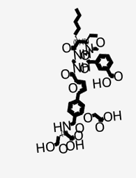 CCCCC[C@@H](C(=O)NCNC(=O)c1ccc(-c2ccc(C(=O)N[C@@H](CC(=O)O)C(=O)O)c(OCC(=O)O)c2)o1)[C@@H](CC)N(C=O)OC(=O)c1cccc(C(=O)O)c1